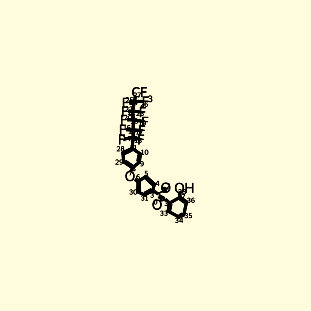 O=S(=O)(c1ccc(Oc2ccc(C(F)(F)C(F)(F)C(F)(F)C(F)(F)C(F)(F)C(F)(F)F)cc2)cc1)c1ccccc1O